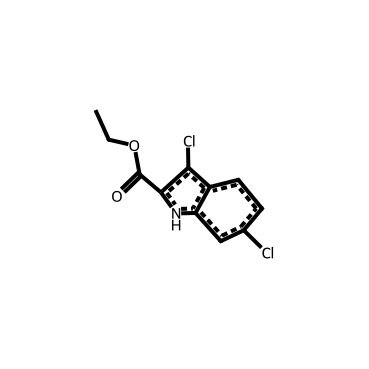 CCOC(=O)c1[nH]c2cc(Cl)ccc2c1Cl